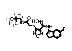 CC(C)(O)CNC(=O)CSc1nonc1/C(=N\O)N[C@H]1CCc2ccc(F)cc21